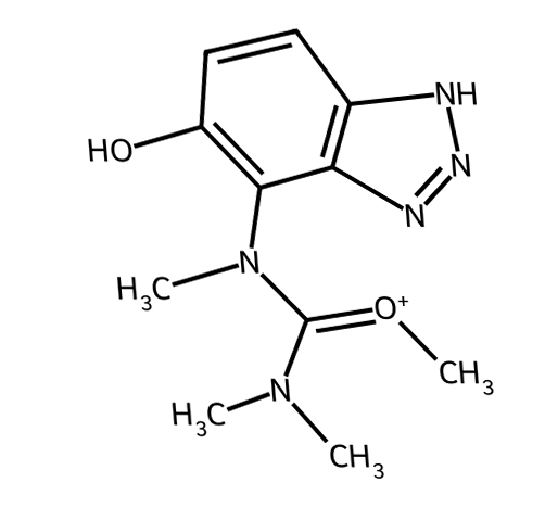 C[O+]=C(N(C)C)N(C)c1c(O)ccc2[nH]nnc12